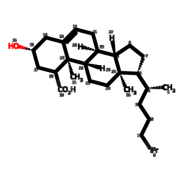 CC(C)CCC[C@@H](C)[C@H]1CC[C@H]2[C@@H]3CC=C4C[C@@H](O)CC(C(=O)O)[C@]4(C)[C@H]3CC[C@]12C